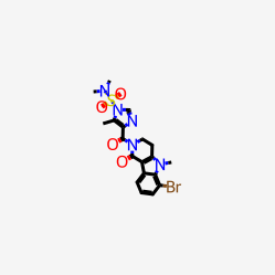 Cc1c(C(=O)N2CCc3c(c4cccc(Br)c4n3C)C2=O)ncn1S(=O)(=O)N(C)C